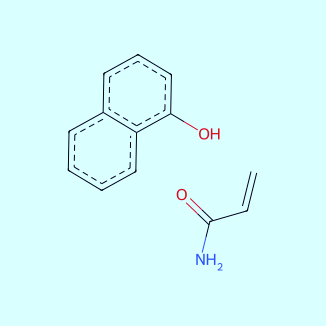 C=CC(N)=O.Oc1cccc2ccccc12